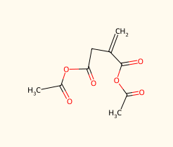 C=C(CC(=O)OC(C)=O)C(=O)OC(C)=O